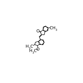 COC1c2cccc(C=C3Cc4cc(C)ccc4C3=O)c2CC1C